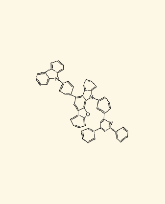 c1ccc(-c2cc(-c3ccccc3)nc(-c3cccc(-n4c5ccccc5c5c(-c6ccc(-n7c8ccccc8c8ccccc87)cc6)cc6c7ccccc7oc6c54)c3)c2)cc1